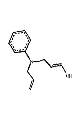 C=CCN(CC=CO)c1ccccc1